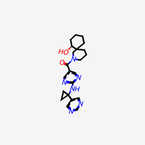 O=C(c1cnc(NC2(c3cncnc3)CC2)nc1)N1CCCC2(CCCC[C@@H]2O)C1